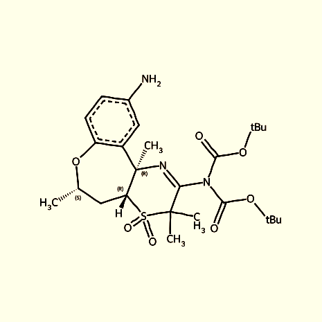 C[C@H]1C[C@@H]2[C@](C)(N=C(N(C(=O)OC(C)(C)C)C(=O)OC(C)(C)C)C(C)(C)S2(=O)=O)c2cc(N)ccc2O1